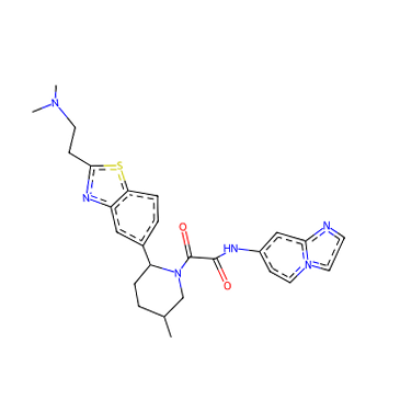 CC1CCC(c2ccc3sc(CCN(C)C)nc3c2)N(C(=O)C(=O)Nc2ccn3ccnc3c2)C1